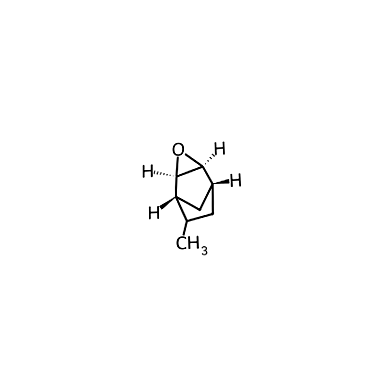 CC1C[C@@H]2C[C@H]1[C@H]1O[C@@H]21